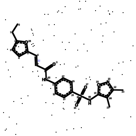 CCc1ccc(/C=C/C(=O)Nc2ccc(S(=O)(=O)Nc3onc(C)c3C)cc2)o1